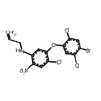 C=CCNc1cc(Oc2cc(Cl)c(Br)cc2Cl)c(Cl)cc1[N+](=O)[O-]